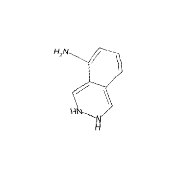 Nc1cccc2c1=CNNC=2